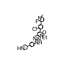 CCn1c(=O)c(-c2ccc(-c3ccc(C)nc3F)cc2Cl)cc2cnc(Nc3ccc(C4CCNCC4)cc3)nc21